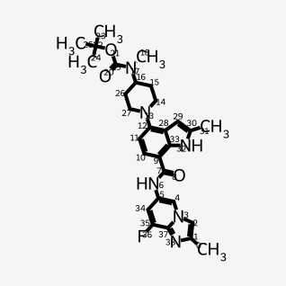 Cc1cn2cc(NC(=O)c3ccc(N4CCC(N(C)C(=O)OC(C)(C)C)CC4)c4cc(C)[nH]c34)cc(F)c2n1